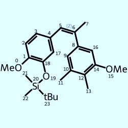 COc1ccc(/C=C(/C)c2cc(C)c(C)c(OC)c2)cc1O[Si](C)(C)C(C)(C)C